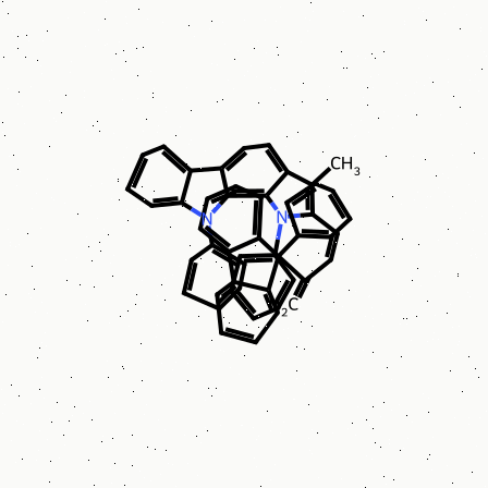 C=C(/C=C\c1c(C)c2ccc3c4ccccc4n(-c4ccccc4)c3c2n1-c1ccccc1)C1(c2ccccc2)c2ccccc2-c2ccccc21